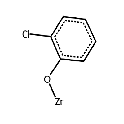 Clc1ccccc1[O][Zr]